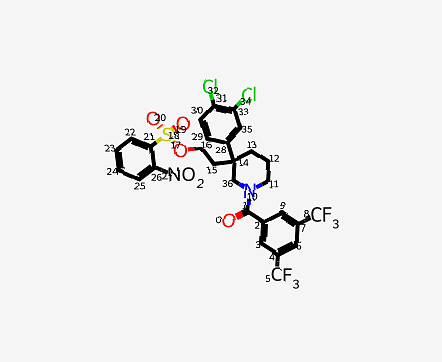 O=C(c1cc(C(F)(F)F)cc(C(F)(F)F)c1)N1CCCC(CCOS(=O)(=O)c2ccccc2[N+](=O)[O-])(c2ccc(Cl)c(Cl)c2)C1